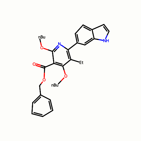 CCCCOc1nc(-c2ccc3cc[nH]c3c2)c(CC)c(OCCCC)c1C(=O)OCc1ccccc1